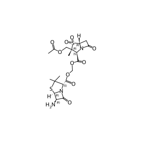 CC(=O)OC[C@@]1(C)[C@H](C(=O)OCOC(=O)[C@@H]2N3C(=O)[C@@H](N)[C@H]3SC2(C)C)N2C(=O)C[C@H]2S1(=O)=O